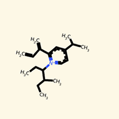 C=CC(=C)c1cc(C(C)C)cc[n+]1C(CC)C(C)CC